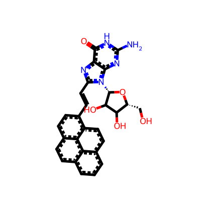 Nc1nc2c(nc(C=Cc3ccc4ccc5cccc6ccc3c4c56)n2[C@@H]2O[C@H](CO)C(O)C2O)c(=O)[nH]1